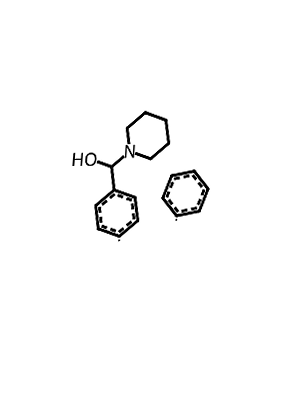 OC(c1cc[c]cc1)N1CCCCC1.[c]1ccccc1